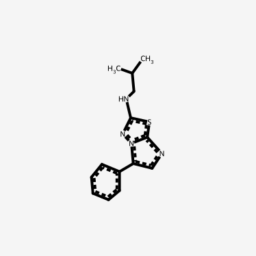 CC(C)CNc1nn2c(-c3ccccc3)cnc2s1